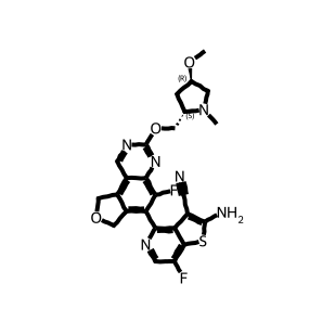 CO[C@@H]1C[C@@H](COc2ncc3c4c(c(-c5ncc(F)c6sc(N)c(C#N)c56)c(F)c3n2)COC4)N(C)C1